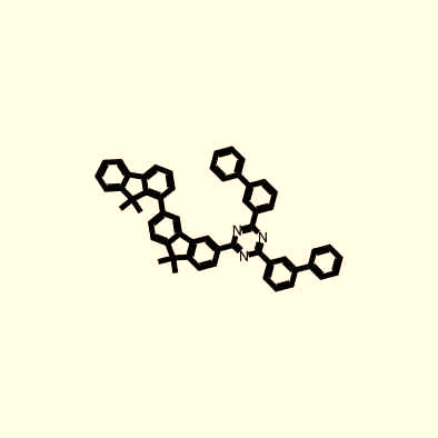 CC1(C)c2ccc(-c3nc(-c4cccc(-c5ccccc5)c4)nc(-c4cccc(-c5ccccc5)c4)n3)cc2-c2cc(-c3cccc4c3C(C)(C)c3ccccc3-4)ccc21